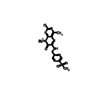 CC[C@H](C)n1c(=O)c(NCc2ccc(S(C)(=O)=O)cn2)nc2c(C)nc(Cl)nc21